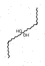 CCCCCCCC/C=C\CCCCCCCC(O)C(O)CCCCCCC/C=C\CCCCCCCC